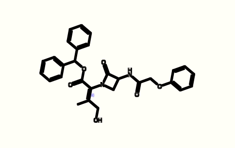 C/C(CO)=C(\C(=O)OC(c1ccccc1)c1ccccc1)N1CC(NC(=O)COc2ccccc2)C1=O